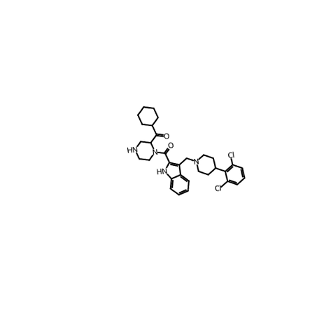 O=C(C1CCCCC1)C1CNCCN1C(=O)c1[nH]c2ccccc2c1CN1CCC(c2c(Cl)cccc2Cl)CC1